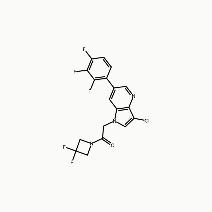 O=C(Cn1cc(Cl)c2ncc(-c3ccc(F)c(F)c3F)cc21)N1CC(F)(F)C1